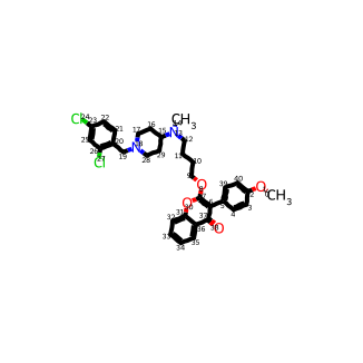 COc1ccc(-c2c(OCCCCN(C)C3CCN(Cc4ccc(Cl)cc4Cl)CC3)oc3ccccc3c2=O)cc1